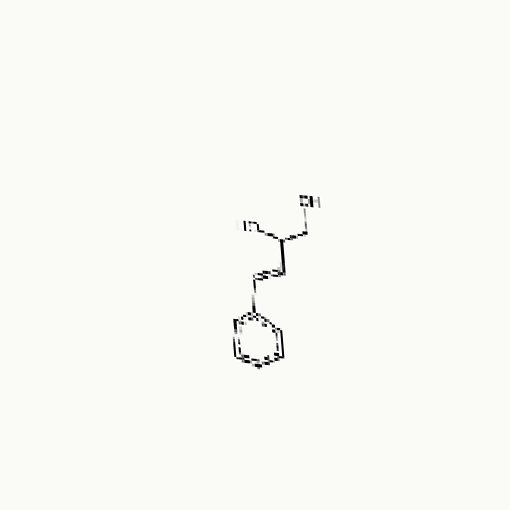 OCC(O)C=Cc1ccccc1